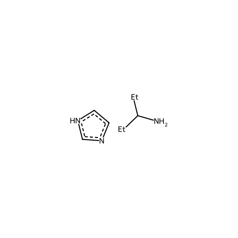 CCC(N)CC.c1c[nH]cn1